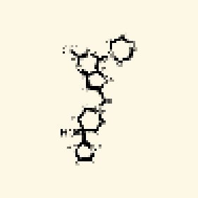 OC1(c2nccs2)CCN(Cc2cc3nc(Cl)nc(N4CCOCC4)c3s2)CC1